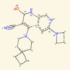 N#CC1=C(N2CCC3(CCC3)CC2)c2cc(N3CCC3)ncc2NC1O